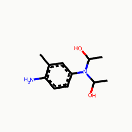 Cc1cc(N(C(C)O)C(C)O)ccc1N